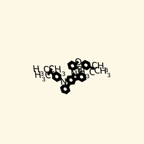 CC(C)(C)c1ccc(-n2c3ccccc3c3cc4c5cccc6c5n(c4cc32)-c2cccc3c2B6c2cc(C(C)(C)C)ccc2O3)cc1